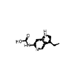 CCc1c[nH]c2cc(NC(=O)O)ncc12